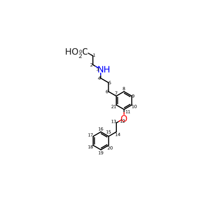 O=C(O)CCNCCCc1cccc(OCCc2ccccc2)c1